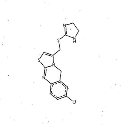 Clc1ccc2c(c1)CN1C(CSC3=NCCN3)=CSC1=N2